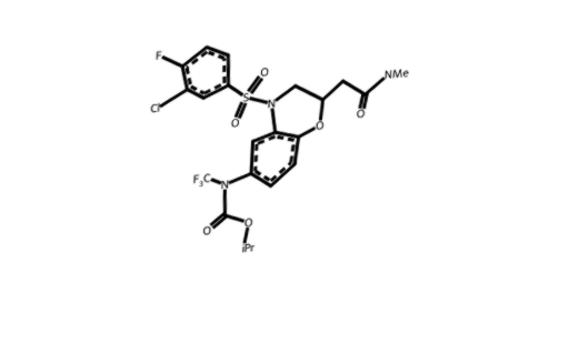 CNC(=O)CC1CN(S(=O)(=O)c2ccc(F)c(Cl)c2)c2cc(N(C(=O)OC(C)C)C(F)(F)F)ccc2O1